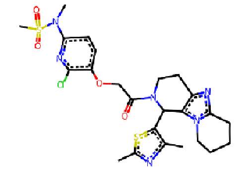 Cc1nc(C)c(C2c3c(nc4n3CCCC4)CCN2C(=O)COc2ccc(N(C)S(C)(=O)=O)nc2Cl)s1